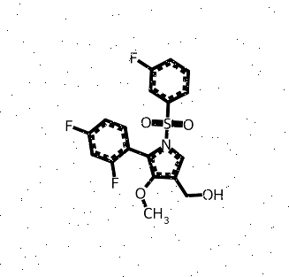 COc1c(CO)cn(S(=O)(=O)c2cccc(F)c2)c1-c1ccc(F)cc1F